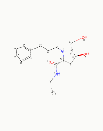 CCNC(=O)[C@H]1C[C@H](O)[C@@H](CO)N1CCCc1ccccc1